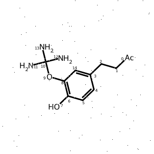 CC(=O)CCc1ccc(O)c(OC(N)(N)N)c1